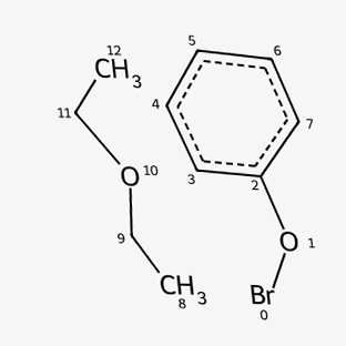 BrOc1ccccc1.CCOCC